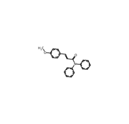 COc1ccc(/C=C/C(=O)N(c2ccccc2)c2ccccc2)cc1